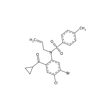 C=CCN(c1cc(Br)c(Cl)cc1C(=O)C1CC1)S(=O)(=O)c1ccc(C)cc1